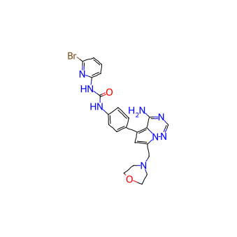 Nc1ncnn2c(CN3CCOCC3)cc(-c3ccc(NC(=O)Nc4cccc(Br)n4)cc3)c12